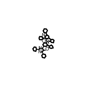 Cc1c(-c2ccccc2)nc(-c2ccccc2)nc1-c1cc(C(F)(F)F)c(-n2c3ccccc3c3cc4c5ccccc5n5c6ccccc6c(c32)c45)c2c1oc1ccccc12